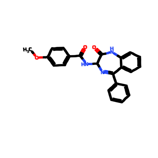 COc1ccc(C(=O)NC2N=C(c3ccccc3)c3ccccc3NC2=O)cc1